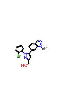 CCCn1ncc2ccc(-c3cc(CO)nn3-c3ccccc3Br)cc21